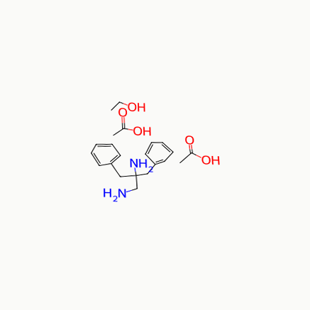 CC(=O)O.CC(=O)O.CCO.NCC(N)(Cc1ccccc1)Cc1ccccc1